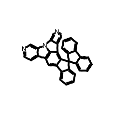 c1ccc2c(c1)-c1ccccc1C21c2ccccc2-c2cc3c4ccncc4n4c5cnccc5c(c21)c34